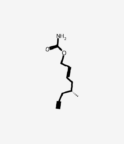 C#CC[C@@H](C)C/C=C/COC(N)=O